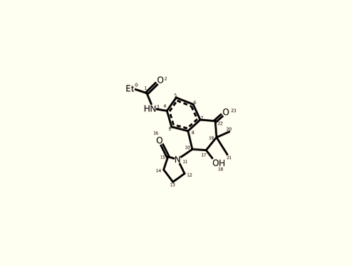 CCC(=O)Nc1ccc2c(c1)C(N1CCCC1=O)C(O)C(C)(C)C2=O